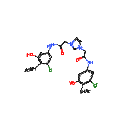 CC(=O)Nc1c(O)cc(NC(=O)Cn2cc[n+](CC(=O)Nc3cc(O)c(NC(C)=O)c(Cl)c3)c2)cc1Cl